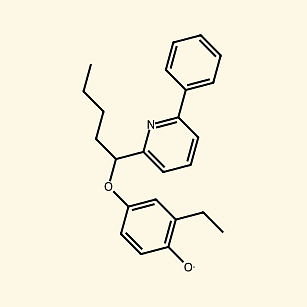 CCCCC(Oc1ccc([O])c(CC)c1)c1cccc(-c2ccccc2)n1